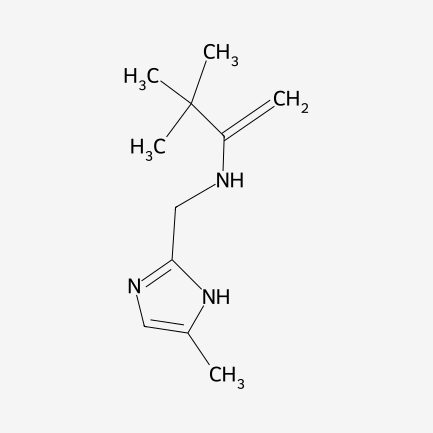 C=C(NCc1ncc(C)[nH]1)C(C)(C)C